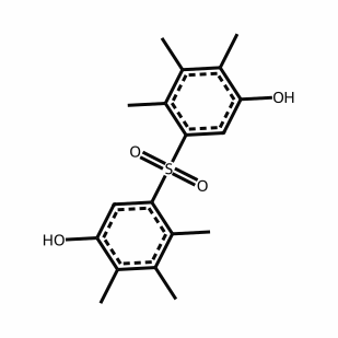 Cc1c(O)cc(S(=O)(=O)c2cc(O)c(C)c(C)c2C)c(C)c1C